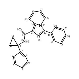 O=C(NC1(c2ccccc2)CC1)c1nc(-c2ccccc2)n2ccccc12